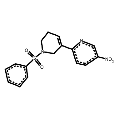 O=[N+]([O-])c1ccc(C2=CCCN(S(=O)(=O)c3ccccc3)C2)nc1